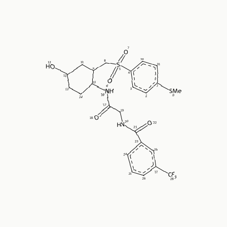 CSc1ccc(S(=O)(=O)CC2CC(O)CCC2NC(=O)CNC(=O)c2cccc(C(F)(F)F)c2)cc1